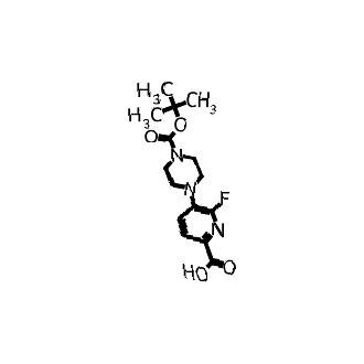 CC(C)(C)OC(=O)N1CCN(c2ccc(C(=O)O)nc2F)CC1